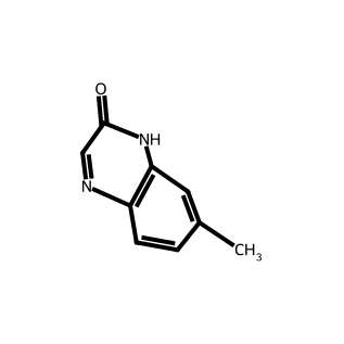 Cc1ccc2ncc(=O)[nH]c2c1